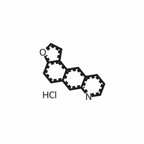 Cl.c1cnc2cc3ccc4occc4c3cc2c1